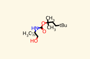 C[C@@H](CO)NC(=O)OC(C)(C)CCC(C)(C)C